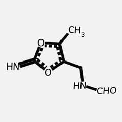 Cc1oc(=N)oc1CNC=O